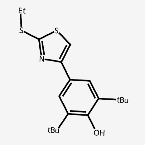 CCSc1nc(-c2cc(C(C)(C)C)c(O)c(C(C)(C)C)c2)cs1